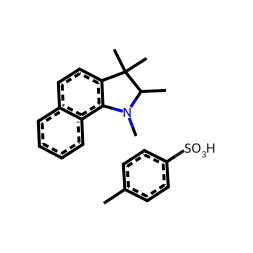 CC1N(C)c2c(ccc3ccccc23)C1(C)C.Cc1ccc(S(=O)(=O)O)cc1